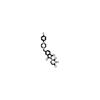 O=C1CCN(N2C(=O)c3ccc(CN4CCN(c5ccc(F)cc5)CC4)cc3C2=O)C(=O)N1